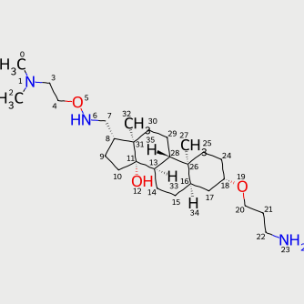 CN(C)CCONC[C@H]1CC[C@]2(O)[C@@H]3CC[C@@H]4C[C@@H](OCCCN)CC[C@]4(C)[C@H]3CC[C@]12C